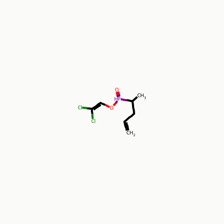 C=CCC(C)[PH](=O)OC=C(Cl)Cl